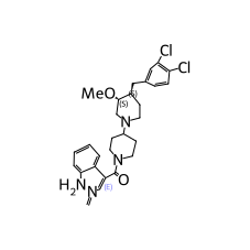 C=N/C=C(/C(=O)N1CCC(N2CC[C@H](Cc3ccc(Cl)c(Cl)c3)[C@H](OC)C2)CC1)c1ccccc1N